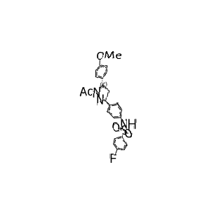 COc1ccc([C@@H]2CC(c3ccc(NS(=O)(=O)c4ccc(F)cc4)cc3)=NN2C(C)=O)cc1